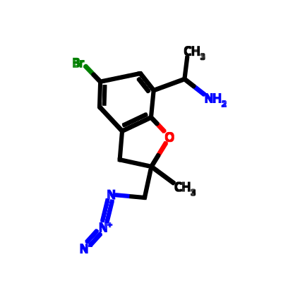 CC(N)c1cc(Br)cc2c1OC(C)(CN=[N+]=[N-])C2